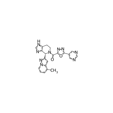 Cc1cccn2nc([C@H]3c4nc[nH]c4CCN3C(=O)c3nnc(-c4cncnc4)o3)cc12